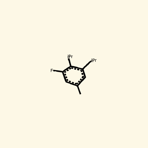 Cc1cc(F)c(C(C)C)c(C(C)C)c1